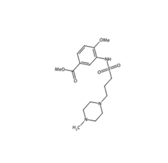 COC(=O)c1ccc(OC)c(NS(=O)(=O)CCCN2CCN(C)CC2)c1